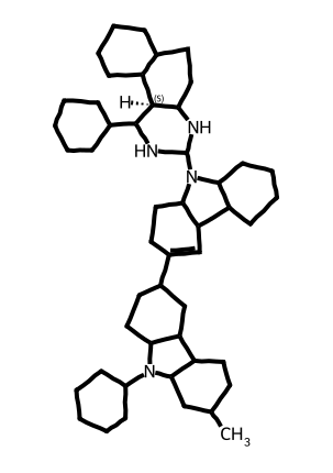 CC1CCC2C3CC(C4=CC5C6CCCCC6N(C6NC7CCC8CCCCC8[C@@H]7C(C7CCCCC7)N6)C5CC4)CCC3N(C3CCCCC3)C2C1